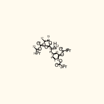 CC(C)C(=O)Oc1ccc(C[C@H](N)C(=O)O[C@@H](C)C(C)OC(=O)OC(C)C(C)C)cc1OC(=O)C(C)C